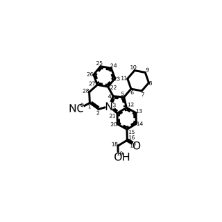 N#CC1=Cn2c(c(C3CCCCC3)c3ccc(C(=O)CO)cc32)-c2ccccc2C1